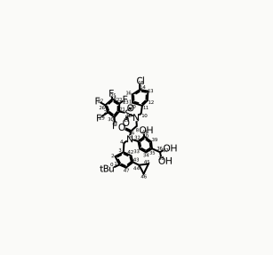 CC(C)(C)c1cc(CN(C(=O)CN(Cc2ccc(Cl)cc2)S(=O)(=O)c2c(F)c(F)c(F)c(F)c2F)c2ccc(C(O)O)cc2O)cc(C2CC2)c1